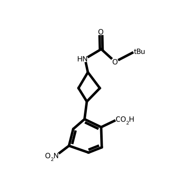 CC(C)(C)OC(=O)NC1CC(c2cc([N+](=O)[O-])ccc2C(=O)O)C1